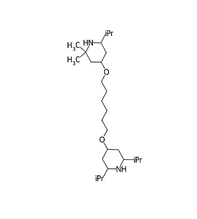 CC(C)C1CC(OCCCCCCOC2CC(C(C)C)NC(C)(C)C2)CC(C(C)C)N1